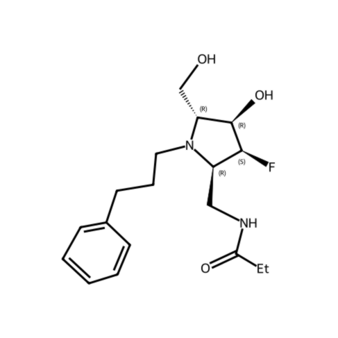 CCC(=O)NC[C@@H]1[C@H](F)[C@H](O)[C@@H](CO)N1CCCc1ccccc1